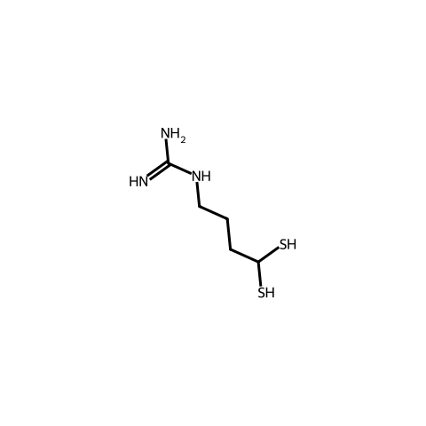 N=C(N)NCCCC(S)S